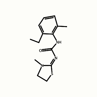 CCc1cccc(C)c1NC(=O)N=C1SCCN1C